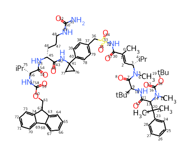 C/C(=C\[C@H](C(C)C)N(C)C(=O)[C@@H](NC(=O)[C@@H](N(C)C(=O)OC(C)(C)C)C(C)(C)c1ccccc1)C(C)(C)C)C(=O)NS(=O)(=O)Cc1ccc(C2(NC(=O)[C@@H](CCCNC(N)=O)NC(=O)[C@H](NC(=O)OCC3c4ccccc4-c4ccccc43)C(C)C)CC2)cc1